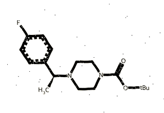 C[C@@H](c1ccc(F)cc1)N1CCN(C(=O)OC(C)(C)C)CC1